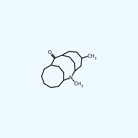 CC1CCC2CCC(C1)N(C)C1CCCCCC(CC1)C2=O